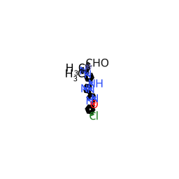 CN(C)[C@H](/C=C/C=O)N1CCC(Nc2cncc(-c3cnc(Oc4cccc(Cl)c4)nc3)n2)CC1